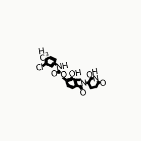 Cc1ccc(NC(=O)OCc2ccc3c(c2O)CN(C2CCC(=O)NC2=O)C3=O)cc1Cl